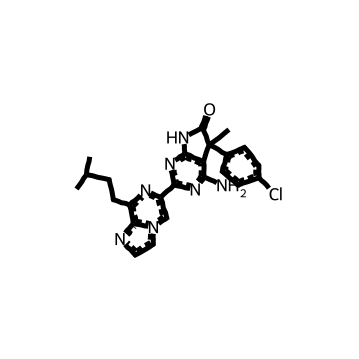 CC(C)CCc1nc(-c2nc(N)c3c(n2)NC(=O)C3(C)c2ccc(Cl)cc2)cn2ccnc12